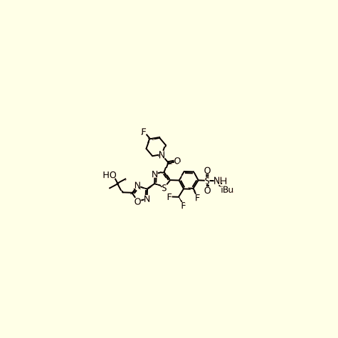 CC[C@@H](C)NS(=O)(=O)c1ccc(-c2sc(-c3noc(CC(C)(C)O)n3)nc2C(=O)N2CCC(F)CC2)c(C(F)F)c1F